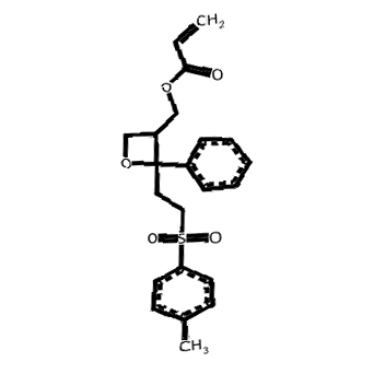 C=CC(=O)OCC1COC1(CCS(=O)(=O)c1ccc(C)cc1)c1ccccc1